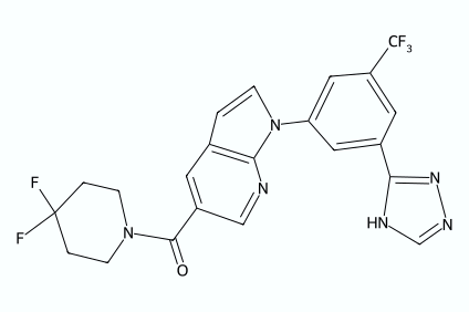 O=C(c1cnc2c(ccn2-c2cc(-c3nnc[nH]3)cc(C(F)(F)F)c2)c1)N1CCC(F)(F)CC1